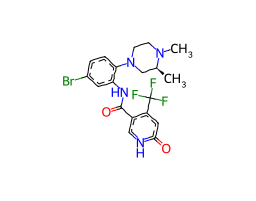 C[C@H]1CN(c2ccc(Br)cc2NC(=O)c2c[nH]c(=O)cc2C(F)(F)F)CCN1C